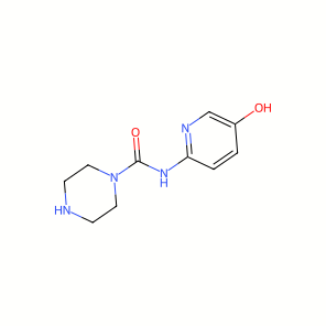 O=C(Nc1ccc(O)cn1)N1CCNCC1